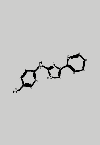 CCc1ccc(Nc2nc(-c3ccccn3)cs2)nc1